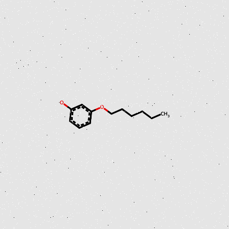 CCCCCCOc1cccc([O])c1